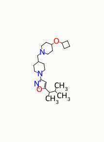 CC(C)C(C)c1cc(N2CCC(CN3CCC(OC4CCC4)CC3)CC2)no1